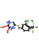 O=c1[nH]cc(SCc2ccc(C(F)(F)F)c(Cl)c2)[nH]c1=O